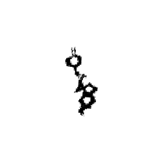 Cc1ccc2c(c1)C1(CC2)CC1NCC1CCNCC1